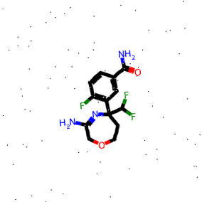 NC(=O)c1ccc(F)c(C2(C(F)F)CCOCC(N)=N2)c1